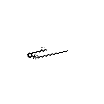 CCCCCCCCCCCCCCCC[N+](C)(C)C(C)(C)c1ccccc1CCCCCCCC.[Cl-]